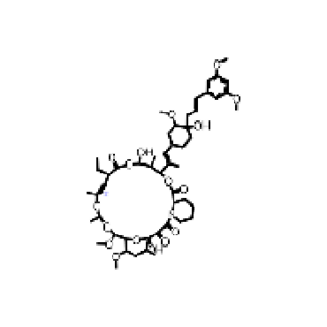 CCC1/C=C(\C)CC(C)CC(OC)C2OC(O)(C(=O)C(=O)N3CCCCC3C(=O)OC(C(C)=CC3CCC(O)(CC=Cc4cc(OC)cc(OC)c4)C(OC)C3)C(C)C(O)CC1=O)C(C)CC2OC